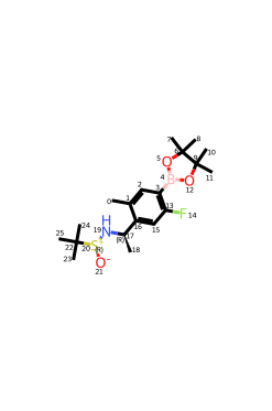 Cc1cc(B2OC(C)(C)C(C)(C)O2)c(F)cc1[C@@H](C)N[S@@+]([O-])C(C)(C)C